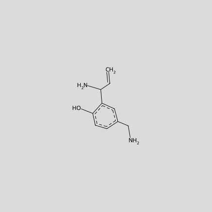 C=CC(N)c1cc(CN)ccc1O